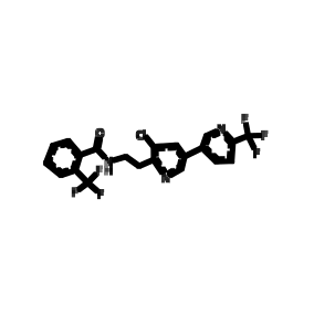 O=C(NCCc1ncc(-c2ccc(C(F)(F)F)nc2)cc1Cl)c1ccccc1C(F)(F)F